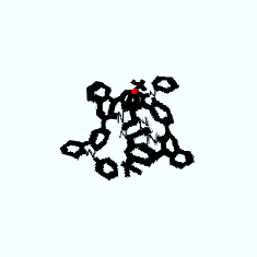 CC(C)(C)c1cc2c3nc4c(nc3n3c5c(-c6ccc7c(c6)c6ccccc6n7-c6ccccc6)cc6ccccc6c5c(c1)c23)c1cc(C(C)(C)C)cc2c3c5ccccc5cc(-c5ccc6c(c5)c5ccccc5n6-c5ccccc5)c3n4c12